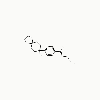 NN/N=C(\N)c1ccc(C2(O)CCC3(CC2)OCCO3)nc1